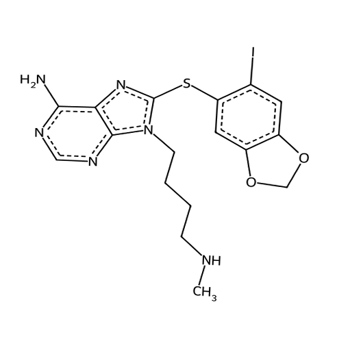 CNCCCCn1c(Sc2cc3c(cc2I)OCO3)nc2c(N)ncnc21